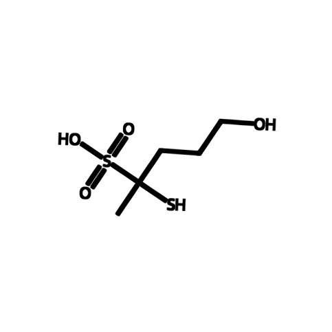 CC(S)(CCCO)S(=O)(=O)O